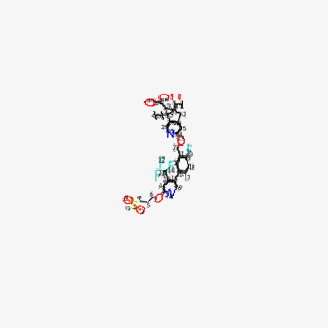 CS(=O)(=O)CCCOc1cc(C(F)(F)F)c(-c2ccc(F)c(COc3cc4c(cn3)[C@H]3[C@@H](C4)[C@@H]3C(=O)O)c2)cn1